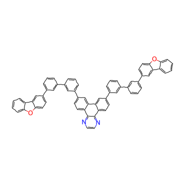 c1cc(-c2cccc(-c3ccc4c(c3)c3cc(-c5cccc(-c6cccc(-c7ccc8oc9ccccc9c8c7)c6)c5)ccc3c3nccnc43)c2)cc(-c2ccc3oc4ccccc4c3c2)c1